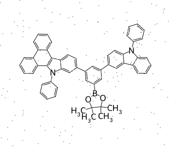 CC1(C)OB(c2cc(-c3ccc4c(c3)c3ccccc3n4-c3ccccc3)cc(-c3ccc4c5c6ccccc6c6ccccc6c5n(-c5ccccc5)c4c3)c2)OC1(C)C